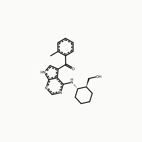 Cc1ccccc1C(=O)c1c[nH]c2ncnc(N[C@H]3CCCC[C@@H]3CO)c12